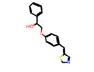 OC(COc1ccc(C=C2C=NCS2)cc1)c1ccccc1